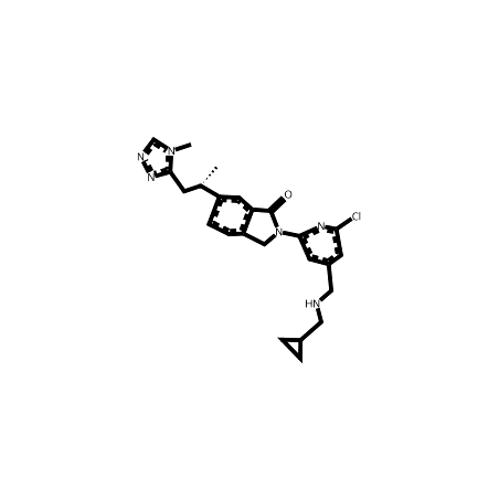 C[C@@H](Cc1nncn1C)c1ccc2c(c1)C(=O)N(c1cc(CNCC3CC3)cc(Cl)n1)C2